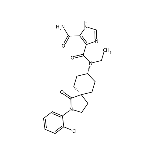 CCN(C(=O)c1nc[nH]c1C(N)=O)[C@H]1CC[C@@]2(CCN(c3ccccc3Cl)C2=O)CC1